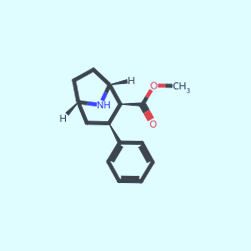 COC(=O)[C@H]1[C@@H](c2ccccc2)C[C@@H]2CC[C@H]1N2